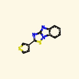 c1ccc2c(c1)nc1nc(-c3ccsc3)sn12